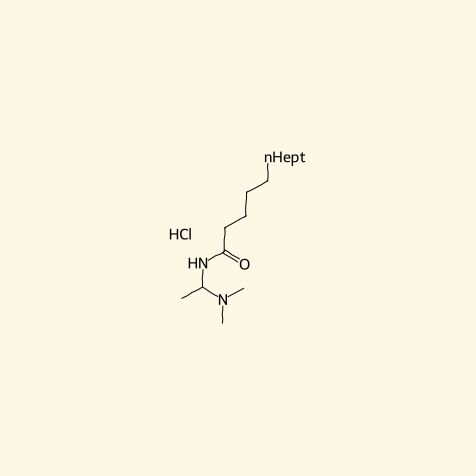 CCCCCCCCCCCC(=O)NC(C)N(C)C.Cl